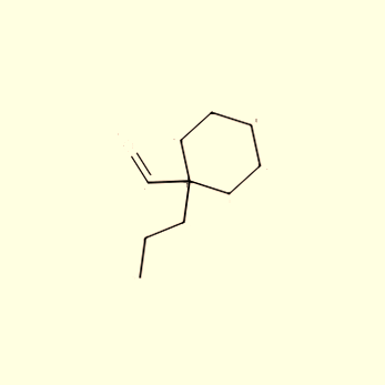 CCCC1(C=O)CCCCC1